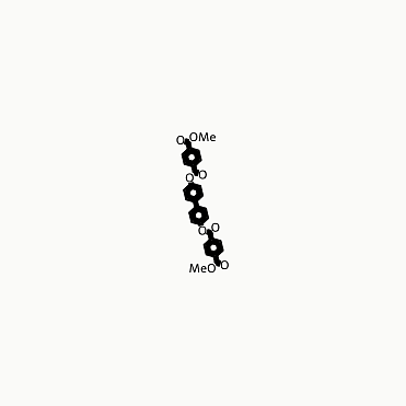 COC(=O)c1ccc(C(=O)Oc2ccc(-c3ccc(OC(=O)c4ccc(C(=O)OC)cc4)cc3)cc2)cc1